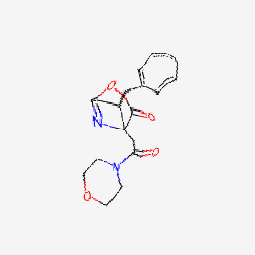 O=C1OC2=NC1(C(=O)N1CCOCC1)C2c1ccccc1